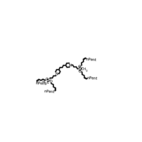 CCCCC/C=C\CCCO[Si](C)(CCCCN1CCC(CCCC2CCN(CCCC[Si](C)(OCCC/C=C\CCCCC)OCCC/C=C\CCCCC)CC2)CC1)OCCC/C=C\CCCCC